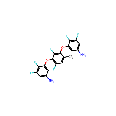 Nc1cc(F)c(F)c(Oc2c(F)cc(C(F)(F)F)c(Oc3cc(N)cc(F)c3F)c2F)c1